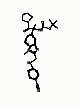 Cn1c(CNc2ccc(C#N)cc2)nc2cc(C(C)(NC(=O)OC(C)(C)C)C(=O)N3CCCC3)ccc21